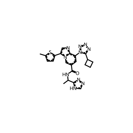 Cc1ccc(-c2cnc3c(-n4nnnc4C4CCC4)cc(C(=O)NC(C)c4nnc[nH]4)cn23)s1